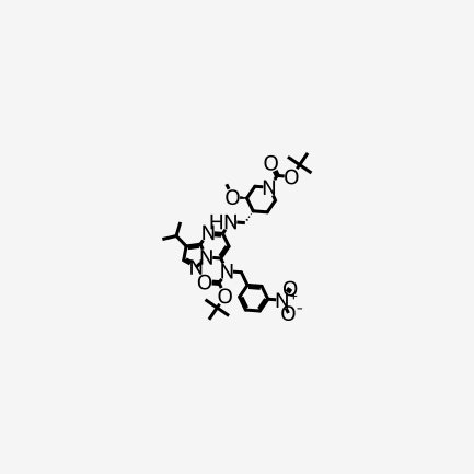 CO[C@H]1CN(C(=O)OC(C)(C)C)CC[C@@H]1CNc1cc(N(Cc2cccc([N+](=O)[O-])c2)C(=O)OC(C)(C)C)n2ncc(C(C)C)c2n1